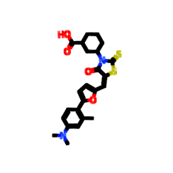 Cc1cc(N(C)C)ccc1-c1ccc(/C=C2/SC(=S)N(C3CCCC(C(=O)O)C3)C2=O)o1